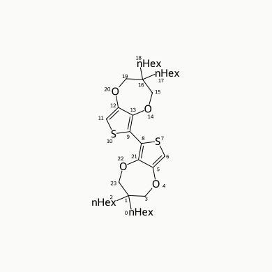 CCCCCCC1(CCCCCC)COc2csc(-c3scc4c3OCC(CCCCCC)(CCCCCC)CO4)c2OC1